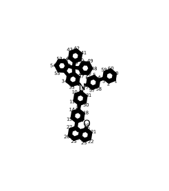 c1ccc(-c2ccc(N(c3ccc(-c4ccc5c(c4)Oc4cccc6cccc-5c46)cc3)c3ccc4c(c3)C(c3ccccc3)(c3ccccc3)c3ccccc3-4)cc2)cc1